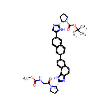 COC(=O)NCC(=O)N1CCC[C@H]1c1nc2ccc3cc(-c4ccc5cc(-c6cnc([C@@H]7CCCN7C(=O)OC(C)(C)C)[nH]6)ccc5c4)ccc3c2[nH]1